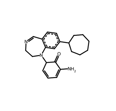 NC1=CC=CC(N2CCN=Cc3ccc(C4CCCCCC4)cc32)C1=O